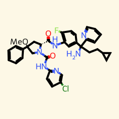 CO[C@]1(c2ccccc2)C[C@H](C(=O)Nc2cc(C(N)(CCC3CC3)c3ccccn3)ccc2F)N(C(=O)Nc2ccc(Cl)cn2)C1